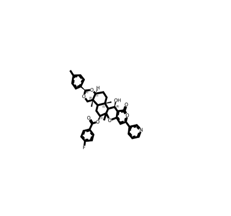 Cc1ccc([C@@H]2OC[C@@]3(C)C4C[C@H](OC(=O)c5ccc(F)cc5)C5(C)Oc6cc(-c7cccnc7)oc(=O)c6[C@H](O)C5[C@@]4(C)CC[C@@H]3O2)cc1